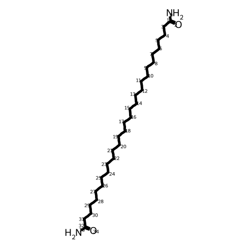 NC(=O)CCCCCCCCCCCCCCCCCCCCCCCCCCCCCC(N)=O